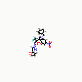 O=[N+]([O-])c1ccc2c(C(O)(CNCc3ccco3)C(F)(F)F)cn(Cc3ccccc3)c2c1